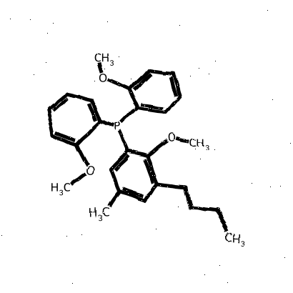 CCCCc1cc(C)cc(P(c2ccccc2OC)c2ccccc2OC)c1OC